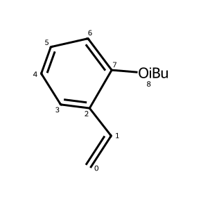 C=Cc1ccccc1OCC(C)C